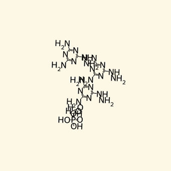 NNc1nc(N)nc(N)n1.NNc1nc(N)nc(N)n1.NNc1nc(N)nc(N)n1.O.O.O=P(O)(O)O